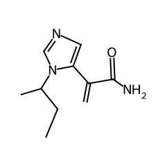 C=C(C(N)=O)c1cncn1C(C)CC